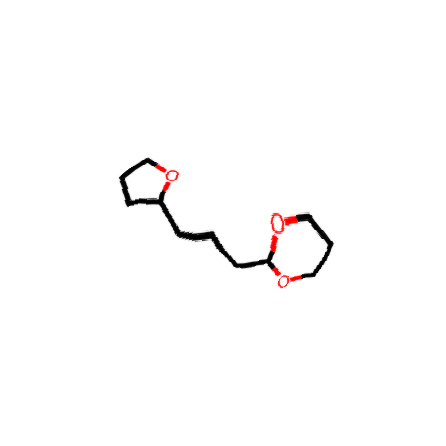 C1COC(CCCC2CCCO2)OC1